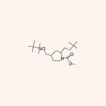 COC(=O)N1CCC(CO[Si](C)(C)C(C)(C)C)CC1CCC(C)(C)C